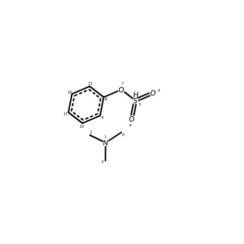 CN(C)C.O=[SH](=O)Oc1ccccc1